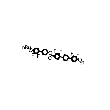 CCCCOc1ccc(C2=CCC(OC(=O)c3ccc(C4CCC(c5ccc(OCC)c(F)c5F)CC4)c(F)c3F)CC2)c(F)c1F